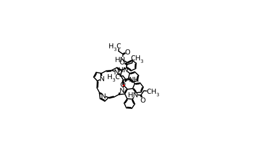 CCC(=O)Nc1ccccc1C1=CC2=CC3=NC(=CC4=NC(=CC5=NC(=C(c6ccccc6NC(=O)CC)C1=N2)C(c1ccccc1NC(=O)CC)=C5c1ccccc1NC(=O)CC)C=C4)C=C3